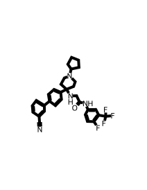 N#Cc1cccc(-c2ccc(C3(NCC(=O)Nc4ccc(F)c(C(F)(F)F)c4)CCN(C4CCCC4)CC3)cc2)c1